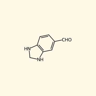 O=Cc1ccc2c(c1)NCN2